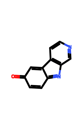 O=C1C=CC2=Nc3cnccc3C2=C1